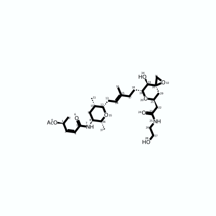 CC(=O)O[C@@H](C)/C=C\C(=O)N[C@@H]1C[C@H](C)[C@H](C/C=C(\C)CC[C@H]2O[C@H](CC(=O)NCCO)C[C@@]3(CO3)[C@@H]2O)O[C@@H]1C